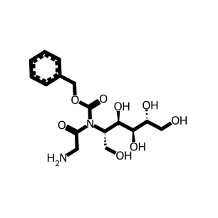 NCC(=O)N(C(=O)OCc1ccccc1)[C@@H](CO)[C@@H](O)[C@H](O)[C@H](O)CO